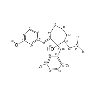 COc1cccc(C=C2CCCCC(CN(C)C)C2(O)Cc2cc(C)ccc2C)c1